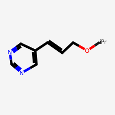 CC(C)OC/C=C/c1cncnc1